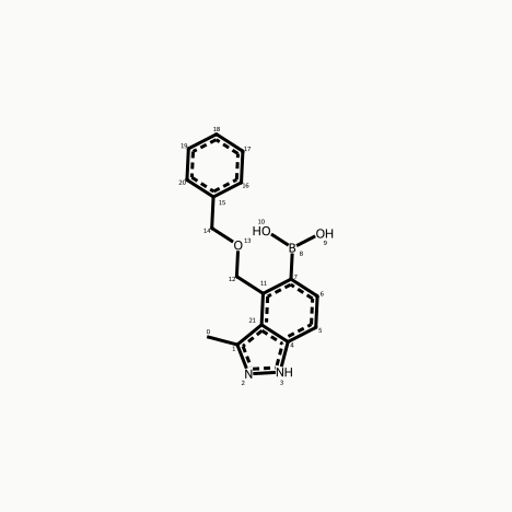 Cc1n[nH]c2ccc(B(O)O)c(COCc3ccccc3)c12